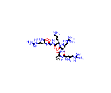 CC(C)C[C@H](NC(=O)[C@@H](N)CCCNC(=N)N)C(=O)N[C@@H](CCCNC(=N)N)C(=O)N[C@@H](CCCCN)C(=O)NCC(=O)N[C@@H](CCCNC(=N)N)C(N)=O